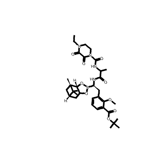 CCN1CCN(C(=O)NC(C)C(=O)N[C@@H](Cc2cccc(C(=O)OC(C)(C)C)c2OC)B2OC3C[C@@H]4C[C@](C)([C@@H]3O2)C4(C)C)C(=O)C1=O